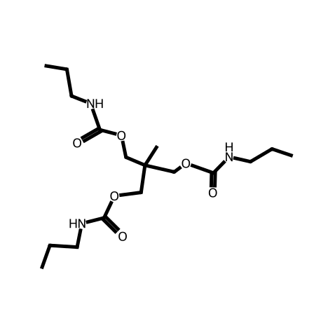 CCCNC(=O)OCC(C)(COC(=O)NCCC)COC(=O)NCCC